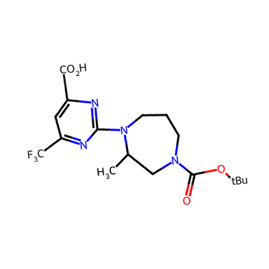 CC1CN(C(=O)OC(C)(C)C)CCCN1c1nc(C(=O)O)cc(C(F)(F)F)n1